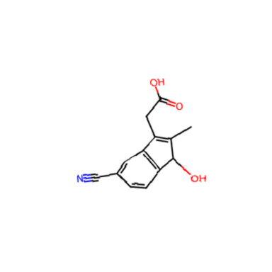 CC1=C(CC(=O)O)c2cc(C#N)ccc2C1O